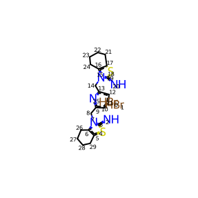 Br.Br.N=c1sc2c(n1Cc1cccc(Cn3c4c(sc3=N)CCCC4)n1)CCCC2